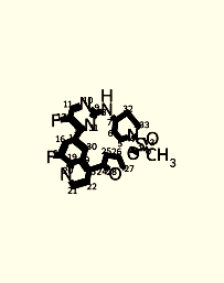 CS(=O)(=O)N1CCC(Nc2ncc(F)c(-c3cc(F)c4nccc(C5CCCO5)c4c3)n2)CC1